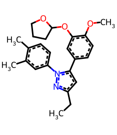 CCc1cc(-c2ccc(OC)c(OC3CCCO3)c2)n(-c2ccc(C)c(C)c2)n1